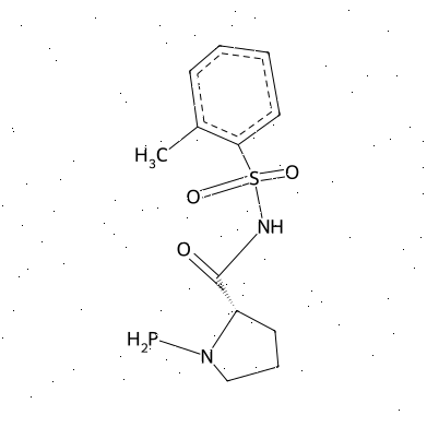 Cc1ccccc1S(=O)(=O)NC(=O)[C@@H]1CCCN1P